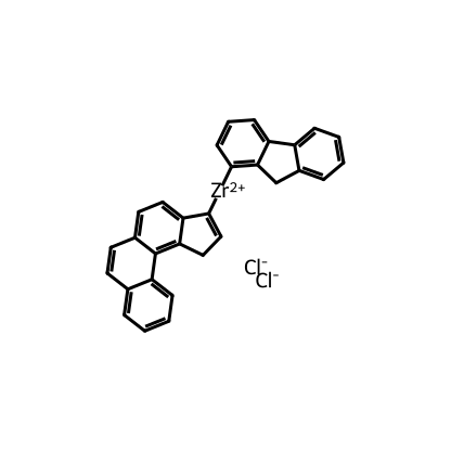 C1=[C]([Zr+2][c]2cccc3c2Cc2ccccc2-3)c2ccc3ccc4ccccc4c3c2C1.[Cl-].[Cl-]